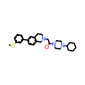 CSc1cccc(-c2ccc3c(c2)CCN(CC(=O)N2CCN(C4CCCCC4)CC2)C3)c1